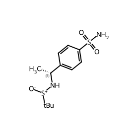 C[C@@H](N[S+]([O-])C(C)(C)C)c1ccc(S(N)(=O)=O)cc1